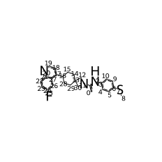 C=C(Nc1ccc(SC)cc1)N1CC2(CCC(c3ccnc4ccc(F)cc34)CC2)C1